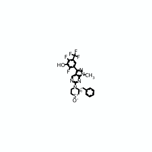 Cn1nc(-c2cc(C(F)(F)F)c(F)c(O)c2F)c2cnc(N3CC[S+]([O-])C[C@H]3Cc3ccccc3)nc21